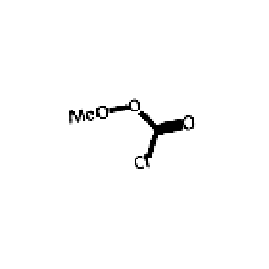 COOC(=O)Cl